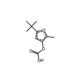 Cc1oc(C(C)(C)C)cc1OC(=O)O